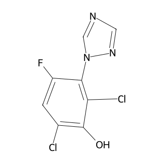 Oc1c(Cl)cc(F)c(-n2cncn2)c1Cl